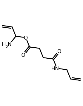 C=CCNC(=O)CCC(=O)OC(N)C=C